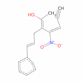 C#C/C=C(\C(C/C=C/c1ccccc1)=C(/C)O)[N+](=O)[O-]